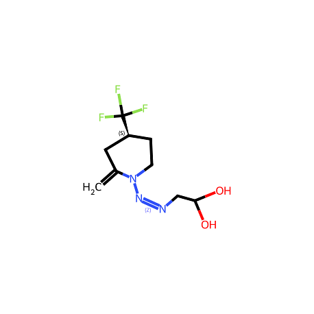 C=C1C[C@@H](C(F)(F)F)CCN1/N=N\CC(O)O